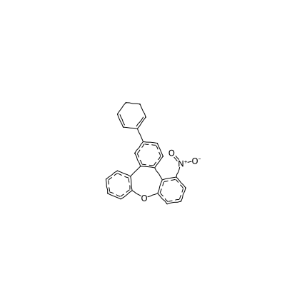 O=[N+]([O-])c1cccc2c1-c1ccc(C3=CCCC=C3)cc1-c1ccccc1O2